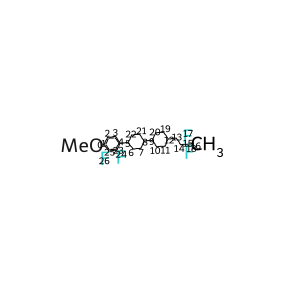 COc1ccc(C2CCC(C3CCC(CCC(C)(F)F)CC3)CC2)c(F)c1F